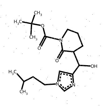 CC(C)CCn1cnc(C(O)C2CCCN(C(=O)OC(C)(C)C)C2=O)c1